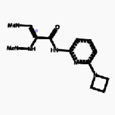 CN/C=C(\NNC)C(=O)Nc1cccc(N2CCC2)n1